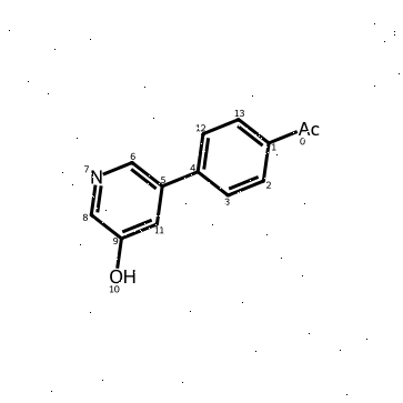 CC(=O)c1ccc(-c2cncc(O)c2)cc1